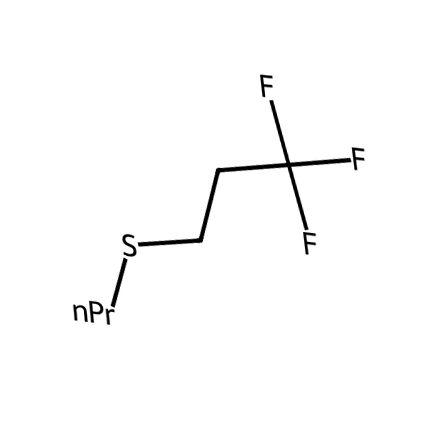 CCCSCCC(F)(F)F